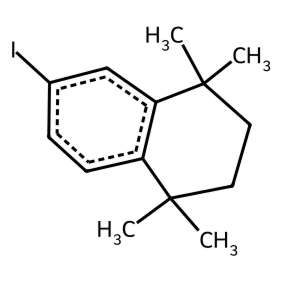 CC1(C)CCC(C)(C)c2cc(I)ccc21